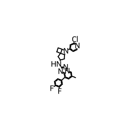 Cc1cc(-c2ccc(F)c(F)c2)c2nc(NC3CC4N(c5ccnc(Cl)c5)C5CCC54C3)nn2c1